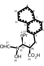 CCC[C@@H]([C@@H](Cc1ccc2ccccc2c1)C(=O)O)N(O)C=O